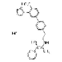 C[C@H](NCCc1ccc(-c2ccc(C(=O)O)c(-c3ccco3)c2)cc1)[C@H](O)c1ccccc1.Cl